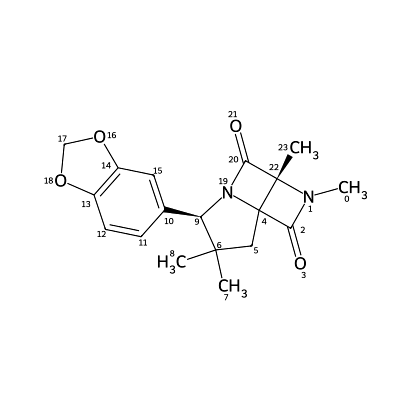 CN1C(=O)C23CC(C)(C)[C@@H](c4ccc5c(c4)OCO5)N2C(=O)[C@]13C